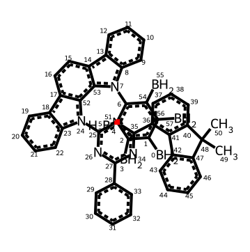 Bc1c(B)c(B)c(-n2c3ccccc3c3ccc4c5ccccc5n(-c5nc(-c6ccccc6)nc(-c6cccc7c6-c6ccccc6C7(C)C)n5)c4c32)c(B)c1B